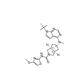 COc1csc(NC(=O)N2C[C@H]3C[C@H](N(C)c4ncnc5c4ccn5C(C)(C)C)C[C@H]3C2)n1